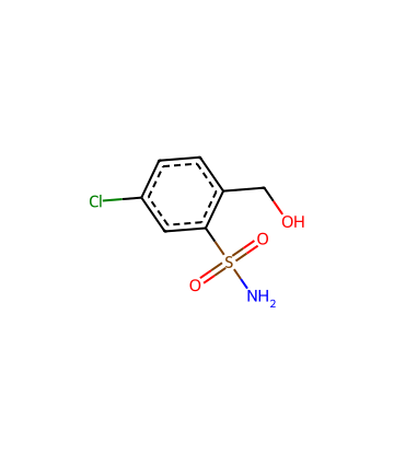 NS(=O)(=O)c1cc(Cl)ccc1CO